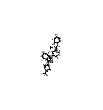 CC(C)N1CC2CC1CN2c1nn(-c2ccnc(NCc3ccccc3)c2)c2ccccc12